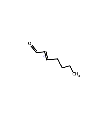 CCCC/C=C/C=O